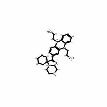 O=C(c1ccc2c(c1)N(CCO)c1ccccc1N2CCO)C1(N2CCOCC2)CCCCC1